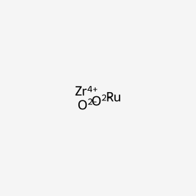 [O-2].[O-2].[Ru].[Zr+4]